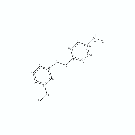 CCc1cccc(CCc2ccc(NC)cc2)c1